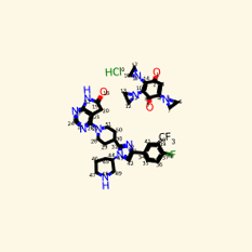 Cl.O=C1C=C(N2CC2)C(=O)C(N2CC2)=C1N1CC1.O=C1Cc2c(ncnc2N2CCC(c3nc(-c4ccc(F)c(C(F)(F)F)c4)cn3[C@@H]3CCCNC3)CC2)N1